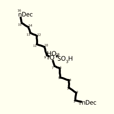 CCCCCCCCCCCCCCCCCOCCCCCCCCCCCCCCCCC.O=S(=O)(O)O